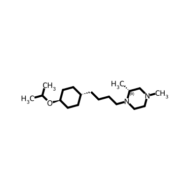 CC(C)O[C@H]1CC[C@H](CCCCN2CCN(C)C[C@H]2C)CC1